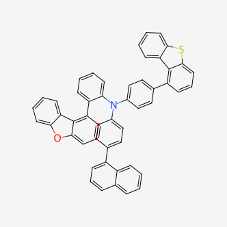 c1ccc(N(c2ccc(-c3cccc4ccccc34)cc2)c2ccc(-c3cccc4sc5ccccc5c34)cc2)c(-c2cccc3oc4ccccc4c23)c1